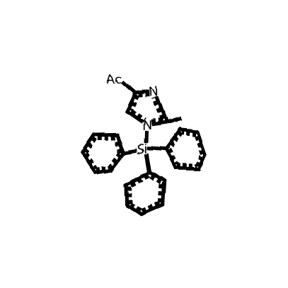 CC(=O)c1cn([Si](c2ccccc2)(c2ccccc2)c2ccccc2)c(C)n1